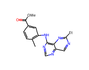 CCc1ncc2ncnc(Nc3cc(C(=O)OC)ccc3C)c2n1